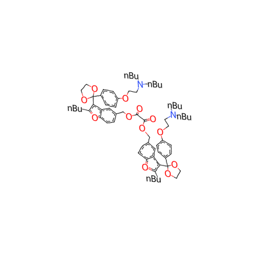 CCCCc1oc2ccc(COC(=O)C(=O)OCc3ccc4oc(CCCC)c(C5(c6ccc(OCCN(CCCC)CCCC)cc6)OCCO5)c4c3)cc2c1C1(c2ccc(OCCN(CCCC)CCCC)cc2)OCCO1